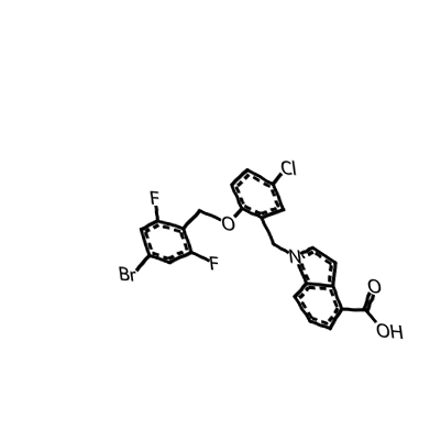 O=C(O)c1cccc2c1ccn2Cc1cc(Cl)ccc1OCc1c(F)cc(Br)cc1F